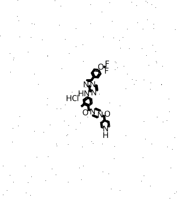 Cc1cc(Nc2nccn3c(-c4ccc(OC(F)F)cc4)cnc23)ccc1C(=O)N1CCN(C(=O)C2CCNCC2)CC1.Cl